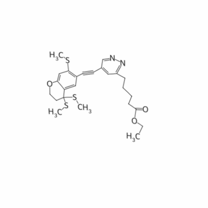 CCOC(=O)CCCCc1cc(C#Cc2cc3c(cc2SC)OCCC3(SC)SC)cnn1